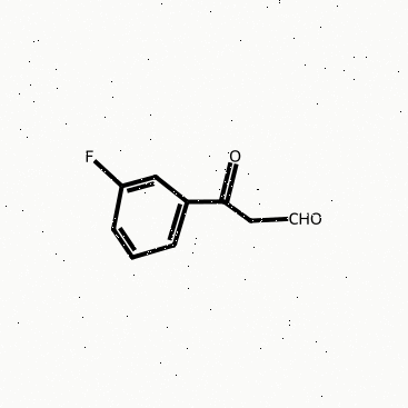 O=CCC(=O)c1cccc(F)c1